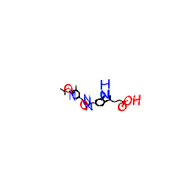 Cc1cc(-c2nc(-c3ccc4c(CCC(=O)O)c[nH]c4c3)no2)cnc1OC(C)C